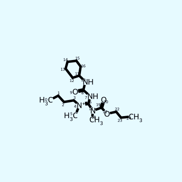 CCCC[N+](C)=C(NC(=O)NC1CCCCC1)N(C)C(=O)OCCC